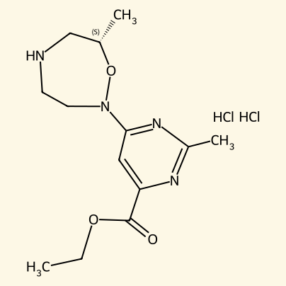 CCOC(=O)c1cc(N2CCNC[C@H](C)O2)nc(C)n1.Cl.Cl